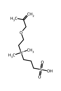 C=C(C)COCC[N+](C)(C)CCCS(=O)(=O)O